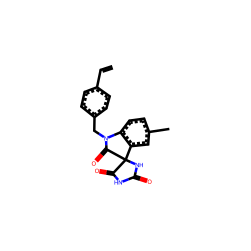 C=Cc1ccc(CN2C(=O)C3(NC(=O)NC3=O)c3cc(C)ccc32)cc1